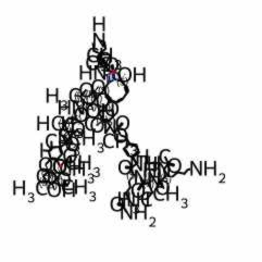 CCN(C(=O)OCc1ccc(NC(=O)[C@H](CCCNC(N)=O)NC(=O)[C@@H](NC(=O)[C@H](CCCCN)NC(C)=O)C(C)C)cc1)[C@H]1CO[C@@H](O[C@H]2[C@H](O[C@H]3C#CC=CC#C[C@]4(O)CC(=O)C(NC(=O)OC)=C3/C4=C\CSSC3CCNCC3)O[C@H](C)[C@@H](NO[C@H]3C[C@H](O)[C@H](SC(=O)c4c(C)c(I)c(O[C@@H]5O[C@@H](C)[C@H](O)[C@@H](OC)[C@H]5O)c(OC)c4OC)[C@@H](C)O3)[C@@H]2O)C[C@@H]1OC